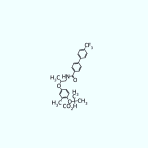 Cc1cc(OC(C)CNC(=O)c2ccc(-c3ccc(C(F)(F)F)cc3)cc2)ccc1OC(C)(C)C(=O)O